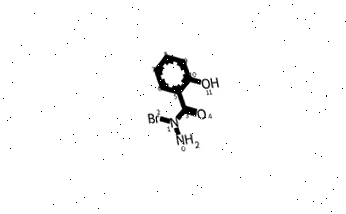 NN(Br)C(=O)c1ccccc1O